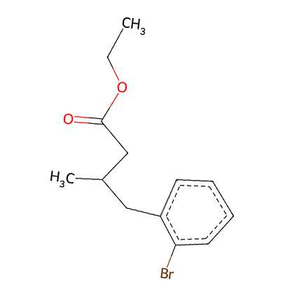 CCOC(=O)CC(C)Cc1ccccc1Br